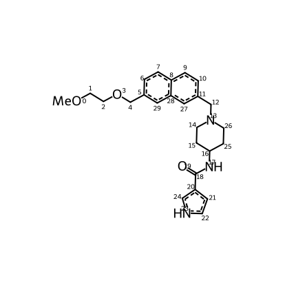 COCCOCc1ccc2ccc(CN3CCC(NC(=O)c4cc[nH]c4)CC3)cc2c1